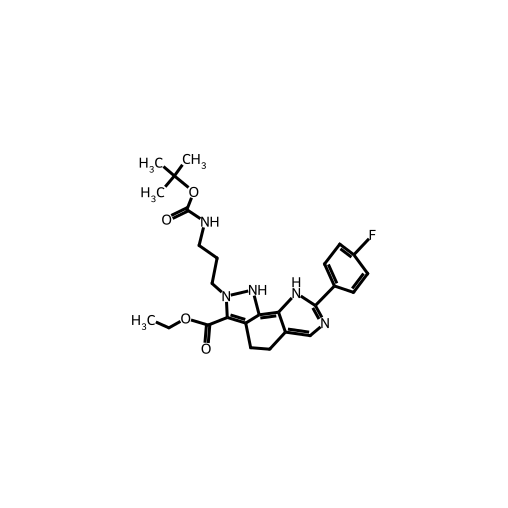 CCOC(=O)C1=C2CCC3=CN=C(c4ccc(F)cc4)NC3=C2NN1CCCNC(=O)OC(C)(C)C